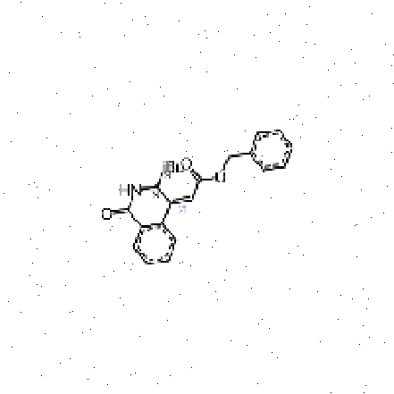 CC[C@H](C)[C@@H]1NC(=O)c2ccccc2/C1=C/C(=O)OCc1ccccc1